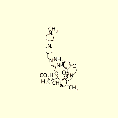 Cc1ccc(C(OC/C(N)=C/N(N)CC2CCN(C3CCN(C)CC3)CC2)C(C)(C)C(=O)O)cc1CN1CCOc2ccccc2S1(=O)=O